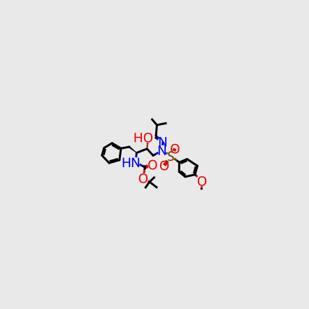 COc1ccc(S(=O)(=O)N(C[C@H](O)[C@H](Cc2ccccc2)NC(=O)OC(C)(C)C)N=CC(C)C)cc1